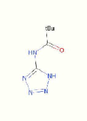 CC(C)(C)C(=O)Nc1nnn[nH]1